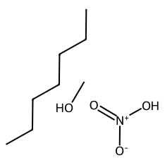 CCCCCCC.CO.O=[N+]([O-])O